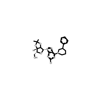 CC1(C)OC2[C@@H](O1)[C@@H](CO)O[C@H]2n1cnc2c(N3CCCC(c4ccccc4)C3)nc(Cl)nc21